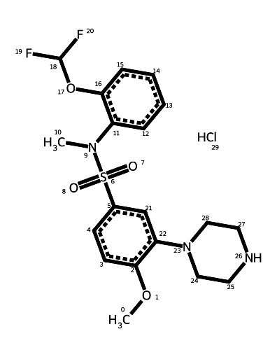 COc1ccc(S(=O)(=O)N(C)c2ccccc2OC(F)F)cc1N1CCNCC1.Cl